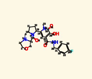 CN1CCOCC1C(=O)N1CCCC1c1cc(C(=O)NCc2ccc(F)cc2)c(O)c(=O)n1C